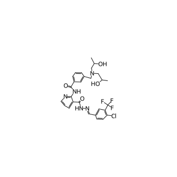 CC(O)CN(Cc1cccc(C(=O)Nc2ncccc2C(=O)N/N=C/c2ccc(Cl)c(C(F)(F)F)c2)c1)CC(C)O